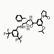 CC(C)Oc1cc(C(=O)N[C@@H](Cc2ccccc2)[C@@H](O)CNCc2cc(C(F)(F)F)cc(C(F)(F)F)c2)cc(N2CCCC2=O)c1